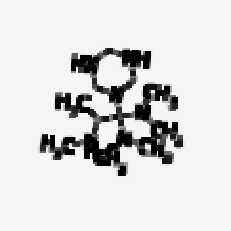 CC(N(C)C)C(N(C)C)(N(C)C)N1CNCNC1